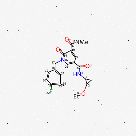 CCOC1CC1NC(=O)c1cc(C(=O)NC)c(=O)n(Cc2ccc(F)c(C)c2)c1